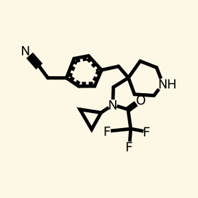 N#CCc1ccc(CC2(CN(C(=O)C(F)(F)F)C3CC3)CCNCC2)cc1